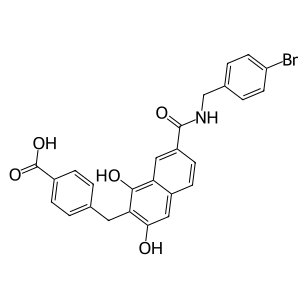 O=C(O)c1ccc(Cc2c(O)cc3ccc(C(=O)NCc4ccc(Br)cc4)cc3c2O)cc1